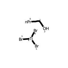 CCCCO.[Br][Ti]([Br])[Br]